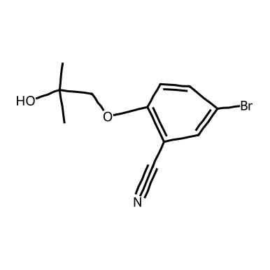 CC(C)(O)COc1ccc(Br)cc1C#N